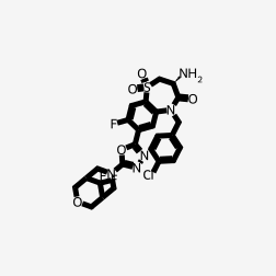 N[C@H]1CS(=O)(=O)c2cc(F)c(-c3nnc(N4CC5COCC(C4)C5(F)F)o3)cc2N(Cc2ccc(Cl)cc2)C1=O